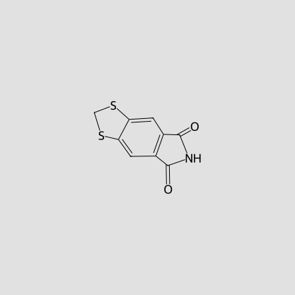 O=C1NC(=O)c2cc3c(cc21)SCS3